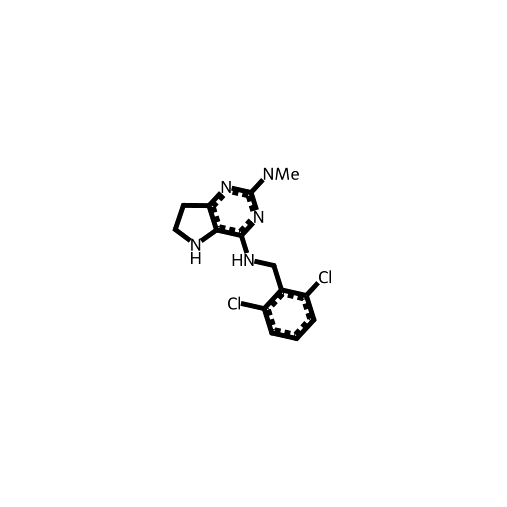 CNc1nc2c(c(NCc3c(Cl)cccc3Cl)n1)NCC2